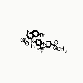 COC(=O)C1CCN(c2ccc(Nc3c([N+](=O)[O-])cnc4ccc(Br)cc34)cc2C(F)(F)F)CC1